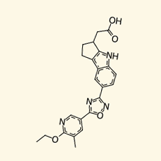 CCOc1ncc(-c2nc(-c3ccc4[nH]c5c(c4c3)CCC5CC(=O)O)no2)cc1C